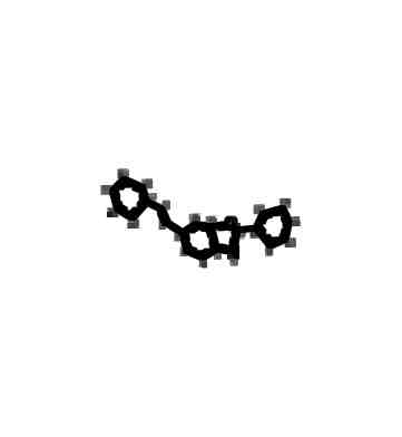 C(=Cc1ccc2nc(-c3ccccc3)oc2c1)c1ccccc1